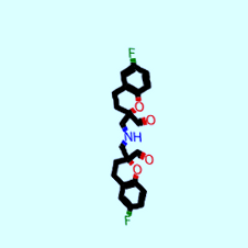 O=CC1(CNCC2(C=O)CCc3cc(F)ccc3O2)CCc2cc(F)ccc2O1